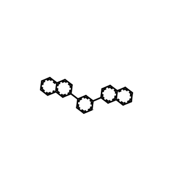 [c]1ccc(-c2ccc3ccccc3c2)cc1-c1ccc2ccccc2c1